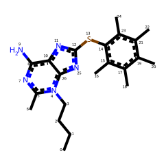 CCCCn1c(C)nc(N)c2nc(Sc3c(C)c(C)c(C)c(C)c3C)nc1-2